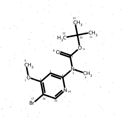 COc1cc(N(C)C(=O)OC(C)(C)C)ncc1Br